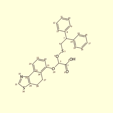 O=C(O)C(OSCC(c1ccccc1)c1ccccc1)Oc1cccc2c1CCc1scnc1-2